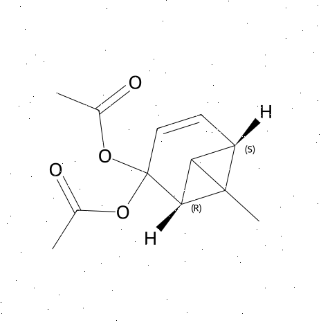 CC(=O)OC1(OC(C)=O)C=C[C@H]2C3[C@@H]1C32C